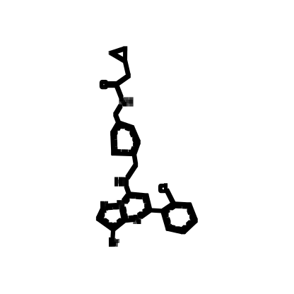 O=C(CC1CC1)NCc1ccc(CNc2cc(-c3ccccc3Cl)nc3c(Br)cnn23)cc1